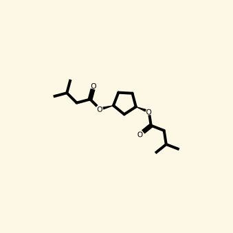 CC(C)CC(=O)O[C@@H]1CC[C@H](OC(=O)CC(C)C)C1